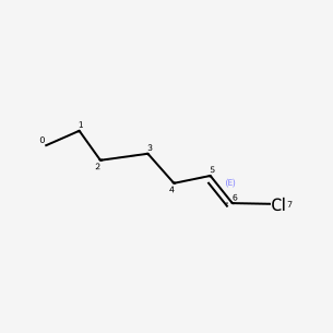 CCCCC/C=[C]/Cl